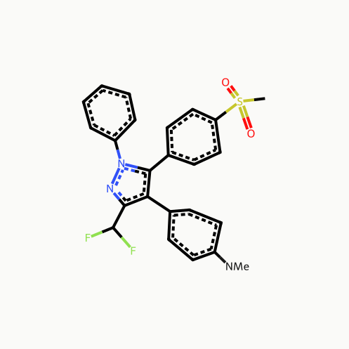 CNc1ccc(-c2c(C(F)F)nn(-c3ccccc3)c2-c2ccc(S(C)(=O)=O)cc2)cc1